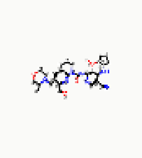 CO[C@H]1CCC[C@@H]1Nc1cc(NC(=O)N2CCCc3cc(CN4CCOCC4C)c(C=O)nc32)ncc1C#N